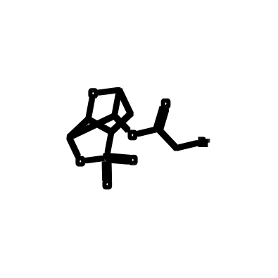 O=C(CBr)OC1C2CC3C(O2)C1OS3(=O)=O